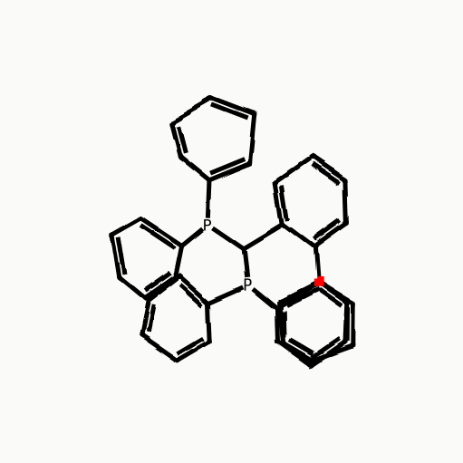 c1ccc(-c2ccccc2C(P(c2ccccc2)c2ccccc2)P(c2ccccc2)c2ccccc2)cc1